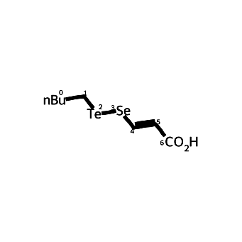 CCCCC[Te][Se]C=CC(=O)O